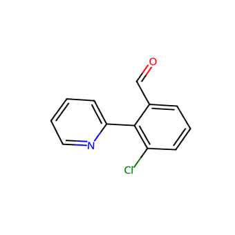 O=Cc1cccc(Cl)c1-c1ccccn1